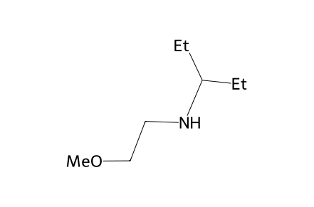 CCC(CC)NCCOC